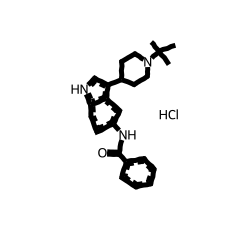 CC(C)(C)N1CCC(c2c[nH]c3ccc(NC(=O)c4ccccc4)cc23)CC1.Cl